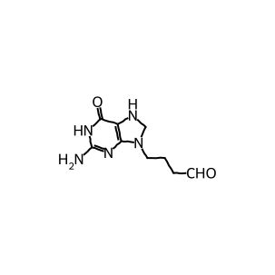 Nc1nc2c(c(=O)[nH]1)NCN2CCCC=O